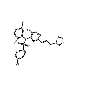 O=S(=O)(c1ccc(Cl)cc1)C(c1cc(F)ccc1F)c1cc(/C=C/CC2OCCO2)ncc1Cl